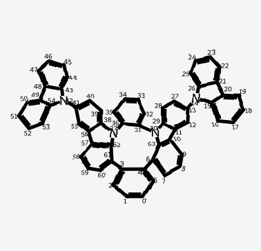 c1ccc2c(c1)c1cccc3c4cc(-n5c6ccccc6c6ccccc65)ccc4n(c4ccccc4n4c5ccc(-n6c7ccccc7c7ccccc76)cc5c5cccc2c54)c13